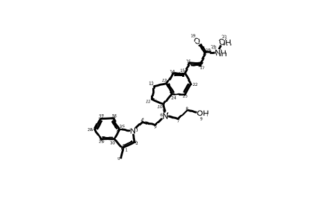 Cc1cn(CCN(CCO)C2CCc3cc(C=CC(=O)NO)ccc32)c2ccccc12